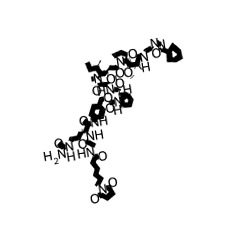 CC[C@H](C)[C@@H]([C@@H](CC(=O)N1CCC[C@H]1[C@H](OC)[C@@H](C)C(=O)NCc1nnc(-c2ccccc2)o1)OC)N(C)C(=O)CNC(=O)[C@@H]1[C@H]2CC[C@H](C2)N1C(=O)OCc1ccc(NC(=O)[C@H](CCCNC(N)=O)NC(=O)CNC(=O)CCCCCN2C(=O)C=CC2=O)cc1